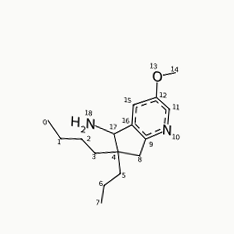 CCCCC1(CCC)Cc2ncc(OC)cc2C1N